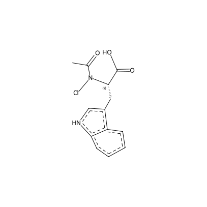 CC(=O)N(Cl)[C@@H](Cc1c[nH]c2ccccc12)C(=O)O